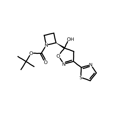 CC(C)(C)OC(=O)N1CC[C@H]1C1(O)CC(c2nccs2)=NO1